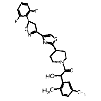 Cc1ccc(C)c(C(O)C(=O)N2CCC(c3nc(C4=NO[C@@H](c5c(F)cccc5F)C4)cs3)CC2)c1